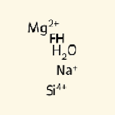 F.O.[Mg+2].[Na+].[Si+4]